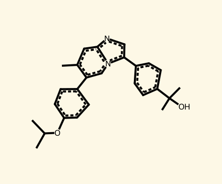 Cc1cc2ncc(-c3ccc(C(C)(C)O)cc3)n2cc1-c1ccc(OC(C)C)cc1